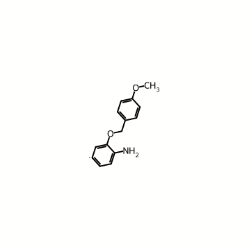 COc1ccc(COc2c[c]ccc2N)cc1